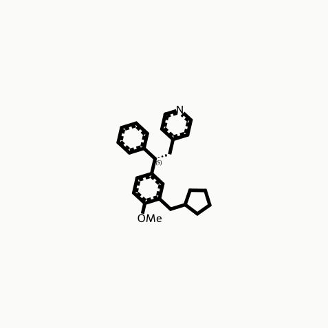 COc1ccc([C@@H](Cc2ccncc2)c2ccccc2)cc1CC1CCCC1